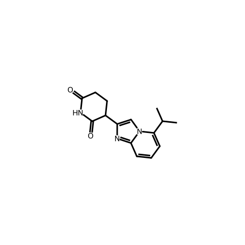 CC(C)c1cccc2nc(C3CCC(=O)NC3=O)cn12